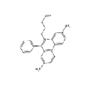 CNCCC[n+]1c(-c2ccccc2)c2cc(N)ccc2c2ccc(N)cc21